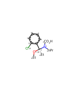 CCCN(C(=O)O)[C@@](CC)(OCC)c1ccccc1Cl